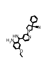 CCOc1ccc(N)c(C(=N)c2ccnc(N3CCC(C#N)(c4ccccc4)C3)c2)c1